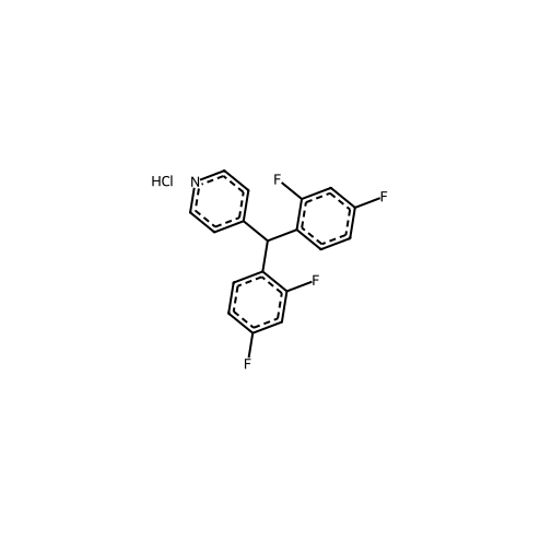 Cl.Fc1ccc(C(c2ccncc2)c2ccc(F)cc2F)c(F)c1